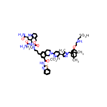 Cc1c(-c2ccc(N3CCc4cc(CCCN(C)C(=O)OCc5ccccc5C(CNC(N)=O)C[C@H](N)C(N)=O)cc(C(=O)Nc5nc6ccccc6s5)c4C3)nc2C(=O)O)cnn1CC12CC3(C)CC(C)(C1)CC(OCCNCCS(=O)(=O)O)(C3)C2